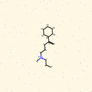 C=C(CCCN(C)CCC)C1CCCCC1